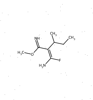 CCC(C)/C(C(=N)OC)=C(/N)F